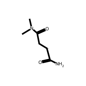 CN(C)C(=O)C[CH]C(N)=O